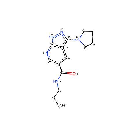 COCCNC(=O)c1cnc2[nH]nc(N3CCCC3)c2c1